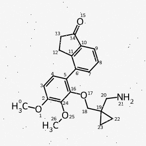 COc1ccc(-c2cccc3c2CCC3=O)c(OCC2(CN)CC2)c1OC